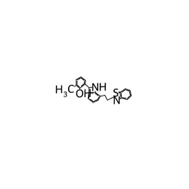 Cc1cccc(C2Nc3c(CCc4nc5ccccc5s4)cccc32)c1O